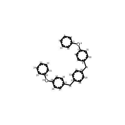 c1ccc(Oc2ccc(Cc3ccc(Cc4ccc(Oc5ccccc5)cc4)cc3)cc2)cc1